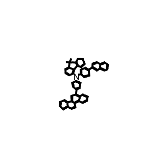 CC1(C)C2=C(C=CCC2)c2c(N(c3ccc(-c4ccc5ccccc5c4)cc3)c3ccc(-c4cc5c6ccccc6ccc5c5ccccc45)cc3)cccc21